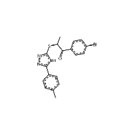 Cc1ccc(-c2nnc(SC(C)C(=O)c3ccc(Br)cc3)[nH]2)cc1